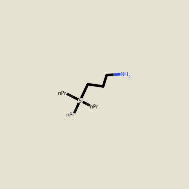 CCC[Si](CCC)(CCC)CCCN